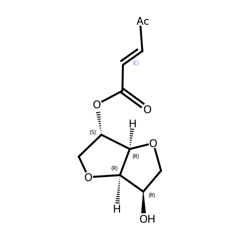 CC(=O)/C=C/C(=O)O[C@H]1CO[C@H]2[C@@H]1OC[C@H]2O